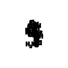 [2H]C([2H])([2H])Oc1cn([C@@H](CC)C(=O)Nc2ccc(C(N)=O)c(Cl)c2)c(=O)cc1-c1cc(Cl)ccc1-n1cc(C(F)(F)F)nn1